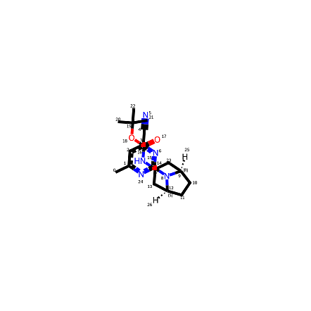 Cc1cc(C#N)nc(N2[C@@H]3CC[C@H]2CC(NC(=O)OC(C)(C)C)C3)n1